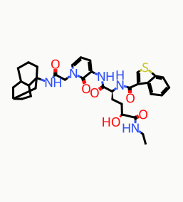 CCNC(=O)C(O)CC[C@H](NC(=O)c1csc2ccccc12)C(=O)Nc1cccn(CC(=O)NC23CCCC4CC(CCC42)C3)c1=O